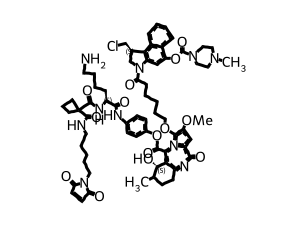 COc1cc2c(=O)nc3c(c(C(=O)Oc4ccc(NC(=O)[C@H](CCCCN)NC(=O)C5(C(=O)NCCCCCN6C(=O)C=CC6=O)CCC5)cc4)n2c1OCCCCCC(=O)N1C[C@@H](CCl)c2c1cc(OC(=O)N1CCN(C)CC1)c1ccccc21)[C@@H](O)C(C)CC3